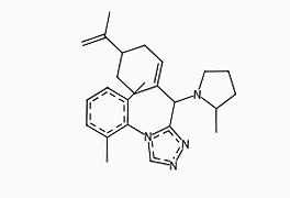 C=C(C)C1CC=C(C(c2nncn2-c2c(C)cccc2C)N2CCCC2C)CC1